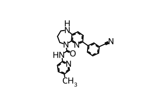 Cc1ccc(NC(=O)N2CCCNc3ccc(-c4cccc(C#N)c4)nc32)nc1